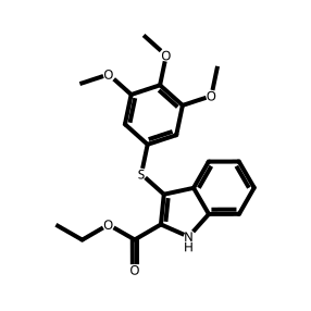 CCOC(=O)c1[nH]c2ccccc2c1Sc1cc(OC)c(OC)c(OC)c1